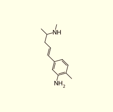 CNC(C)C/C=C/c1ccc(C)c(N)c1